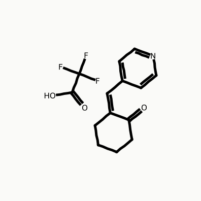 O=C(O)C(F)(F)F.O=C1CCCCC1=Cc1ccncc1